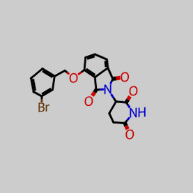 O=C1CCC(N2C(=O)c3cccc(OCc4cccc(Br)c4)c3C2=O)C(=O)N1